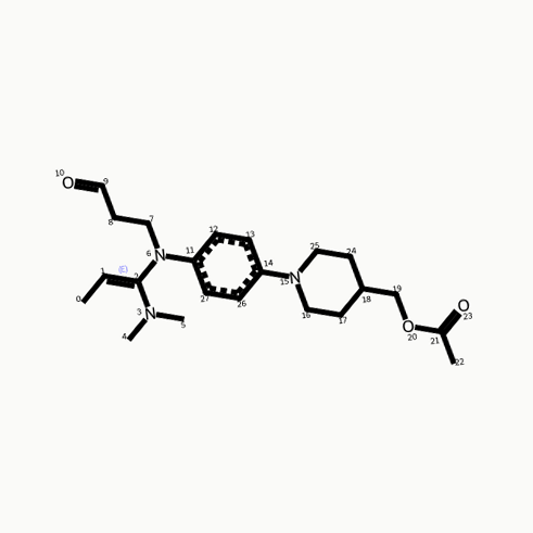 C/C=C(\N(C)C)N(CCC=O)c1ccc(N2CCC(COC(C)=O)CC2)cc1